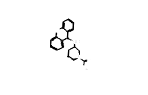 COC(=O)N1CCCC(NC2c3ccccc3Oc3ccccc32)C1